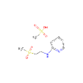 CS(=O)(=O)CCNc1ccccn1.CS(=O)(=O)O